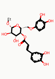 CCO[C@@H]1O[C@H](COc2ccc(O)c(O)c2)[C@@H](OC(=O)/C=C/c2ccc(O)c(O)c2)[C@H](O)[C@H]1O